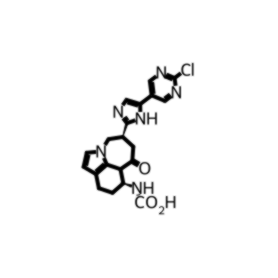 O=C(O)N[C@H]1CCc2ccn3c2C1C(=O)C[C@H](c1ncc(-c2cnc(Cl)nc2)[nH]1)C3